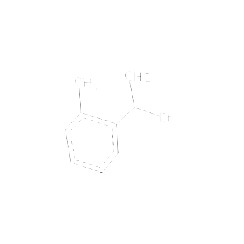 CCC(C=O)c1ccccc1C